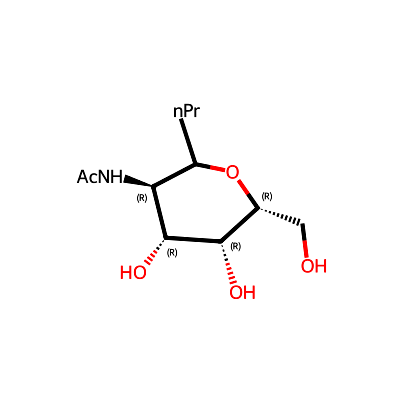 CCCC1O[C@H](CO)[C@H](O)[C@H](O)[C@H]1NC(C)=O